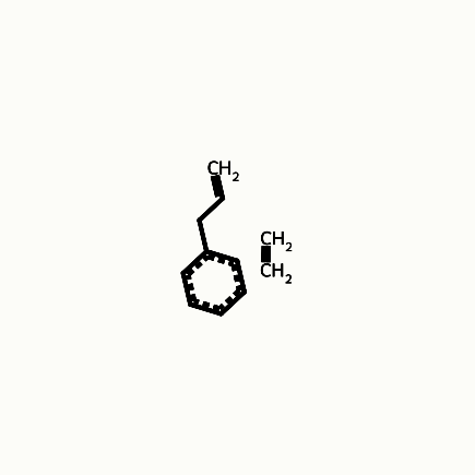 C=C.C=CCc1ccccc1